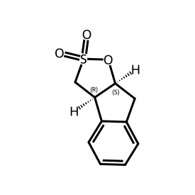 O=S1(=O)C[C@@H]2c3ccccc3C[C@@H]2O1